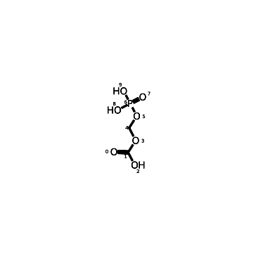 O=C(O)OCOP(=O)(O)O